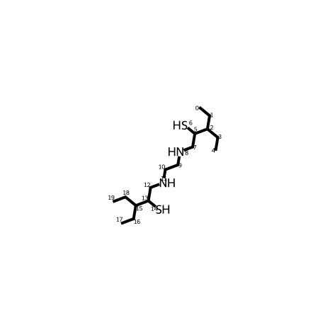 CCC(CC)C(S)CNCCNCC(S)C(CC)CC